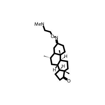 CNCCO/N=C1/CC[C@@]2(C)C(C1)[C@@H](C)C[C@@H]1[C@@H]2CC[C@]2(C)C(=O)CC[C@@H]12